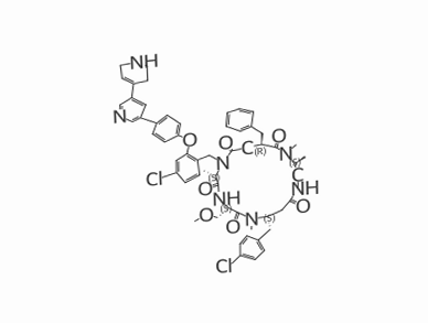 COC[C@@H]1NC(=O)[C@H](C)N(Cc2ccc(Cl)cc2Oc2ccc(-c3cncc(C4=CCNCC4)c3)cc2)C(=O)C[C@@H](Cc2ccccc2)C(=O)N(C)[C@@H](C)CNC(=O)C[C@H](Cc2ccc(Cl)cc2)N(C)C1=O